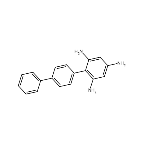 Nc1cc(N)c(-c2ccc(-c3ccccc3)cc2)c(N)c1